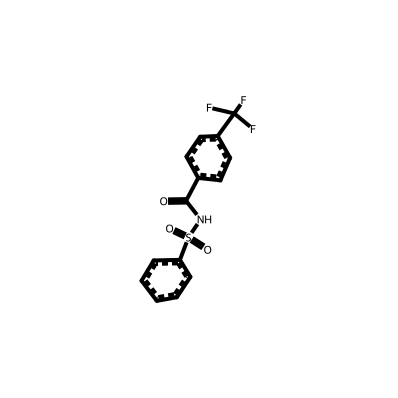 O=C(NS(=O)(=O)c1ccccc1)c1ccc(C(F)(F)F)cc1